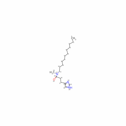 CCCCCCCCCCCCN(C)C(=O)CCc1c[nH]cn1